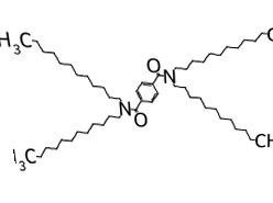 CCCCCCCCCCCCN(CCCCCCCCCCCC)C(=O)c1ccc(C(=O)N(CCCCCCCCCCCC)CCCCCCCCCCCC)cc1